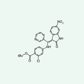 CC(C)(C)OC(=O)c1ccc(N/C(=C2\C(=O)Nc3cc([N+](=O)[O-])ccc32)c2cccnc2)cc1Cl